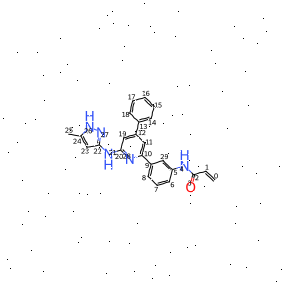 C=CC(=O)Nc1cccc(-c2cc(-c3ccccc3)cc(Nc3cc(C)[nH]n3)n2)c1